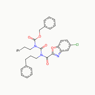 CC(C)CCN(C(=O)OCc1ccccc1)C(=O)N(CCCc1ccccc1)C(=O)c1nc2cc(Cl)ccc2o1